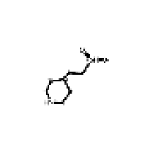 O=[SH](=O)C[CH]C1CCNCC1